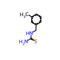 Cc1cccc(CNC(N)=S)c1